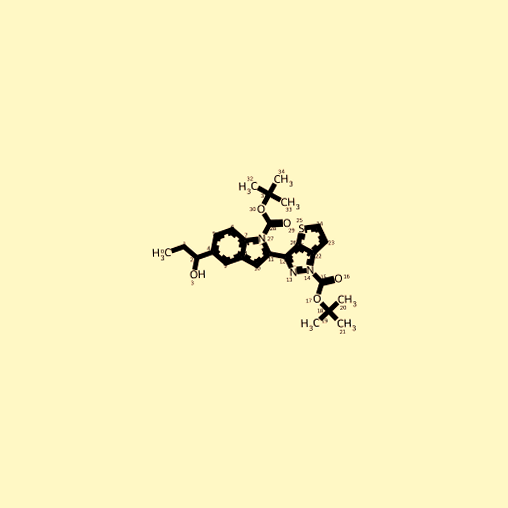 CCC(O)c1ccc2c(c1)cc(-c1nn(C(=O)OC(C)(C)C)c3ccsc13)n2C(=O)OC(C)(C)C